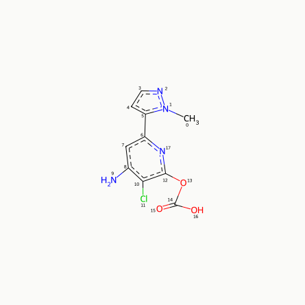 Cn1nccc1-c1cc(N)c(Cl)c(OC(=O)O)n1